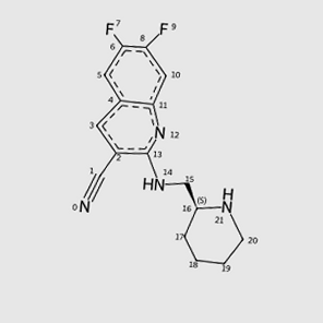 N#Cc1cc2cc(F)c(F)cc2nc1NC[C@@H]1CCCCN1